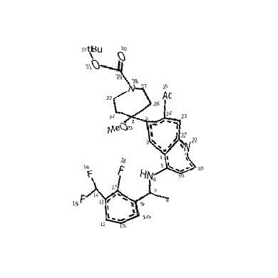 COC1(c2cc3c(NC(C)c4cccc(C(F)F)c4F)ccnc3cc2C(C)=O)CCN(C(=O)OC(C)(C)C)CC1